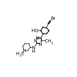 Cc1nc(NC2CCCN(C)C2)nnc1-c1ccc(C#CBr)cc1O